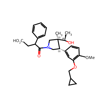 COc1ccc([C@@H]2CN(C(=O)C(CC(=O)O)c3ccccc3)C[C@@]2(C)[C@@H](C)O)cc1OCC1CC1